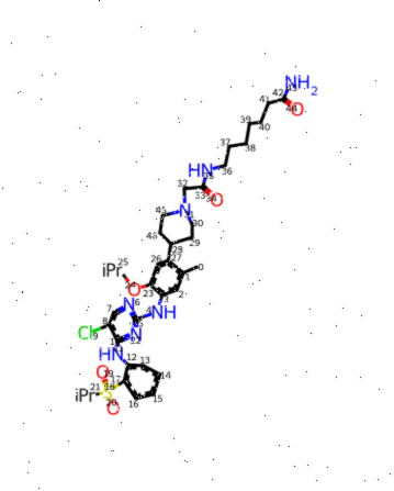 Cc1cc(Nc2ncc(Cl)c(Nc3ccccc3S(=O)(=O)C(C)C)n2)c(OC(C)C)cc1C1CCN(CC(=O)NCCCCCCC(N)=O)CC1